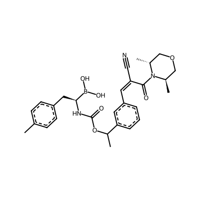 Cc1ccc(C[C@H](NC(=O)OC(C)c2cccc(C=C(C#N)C(=O)N3[C@H](C)COC[C@H]3C)c2)B(O)O)cc1